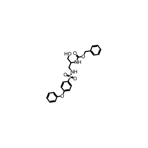 O=C(NC(CO)CNS(=O)(=O)c1ccc(Oc2ccccc2)cc1)OCc1ccccc1